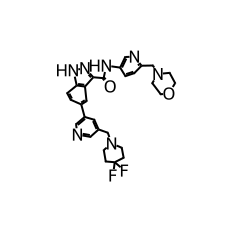 O=C(Nc1ccc(CN2CCOCC2)nc1)c1n[nH]c2ccc(-c3cncc(CN4CCC(F)(F)CC4)c3)cc12